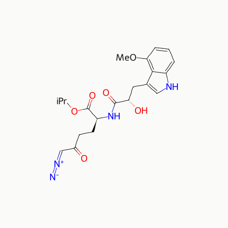 COc1cccc2[nH]cc(C[C@H](O)C(=O)N[C@@H](CCC(=O)C=[N+]=[N-])C(=O)OC(C)C)c12